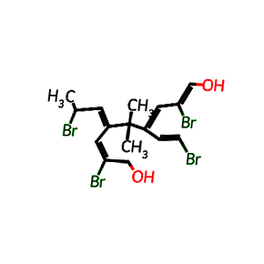 CC(Br)/C=C(\C=C(\Br)CO)C(C)(C)C(/C=C/Br)=C/C(Br)=C/O